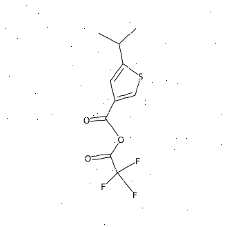 CC(C)c1cc(C(=O)OC(=O)C(F)(F)F)cs1